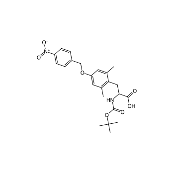 Cc1cc(OCc2ccc([N+](=O)[O-])cc2)cc(C)c1CC(NC(=O)OC(C)(C)C)C(=O)O